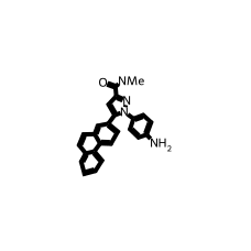 CNC(=O)c1cc(-c2ccc3c(ccc4ccccc43)c2)n(-c2ccc(N)cc2)n1